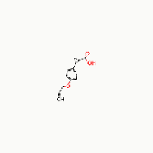 C#CCOc1ccc(C2CC2C(=O)O)cc1